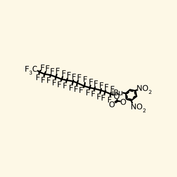 CCC(C)c1cc([N+](=O)[O-])cc([N+](=O)[O-])c1OC(=O)OC(F)(F)C(F)(F)C(F)(F)C(F)(F)C(F)(F)C(F)(F)C(F)(F)C(F)(F)C(F)(F)C(F)(F)C(F)(F)C(F)(F)C(F)(F)C(F)(F)C(F)(F)F